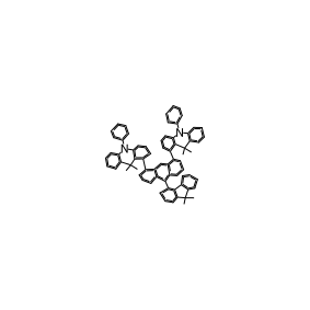 CC1(C)c2ccccc2-c2c(-c3c4cccc(-c5cccc6c5C(C)(C)c5ccccc5N6c5ccccc5)c4cc4c(-c5cccc6c5C(C)(C)c5ccccc5N6c5ccccc5)cccc34)cccc21